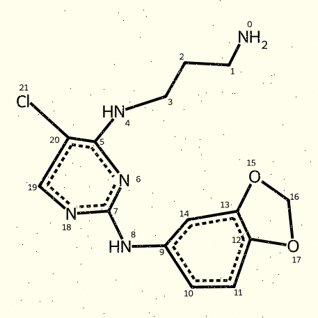 NCCCNc1nc(Nc2ccc3c(c2)OCO3)ncc1Cl